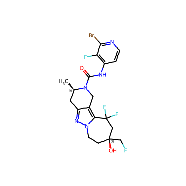 C[C@@H]1Cc2nn3c(c2CN1C(=O)Nc1ccnc(Br)c1F)C(F)(F)C[C@](O)(CF)CC3